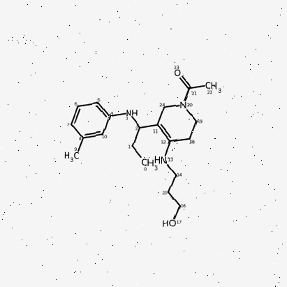 CCC(Nc1cccc(C)c1)C1=C(NCCCO)CCN(C(C)=O)C1